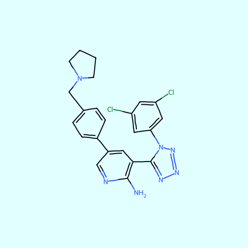 Nc1ncc(-c2ccc(CN3CCCC3)cc2)cc1-c1nnnn1-c1cc(Cl)cc(Cl)c1